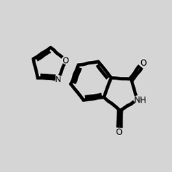 O=C1NC(=O)c2ccccc21.c1cnoc1